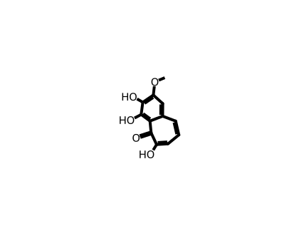 COc1cc2cccc(O)c(=O)c2c(O)c1O